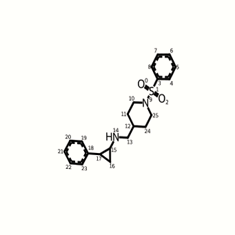 O=S(=O)(c1ccccc1)N1CCC(CNC2CC2c2ccccc2)CC1